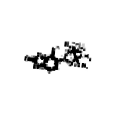 CC1(C)OB(c2ccc3[nH]c(=O)oc3c2F)OC1(C)C